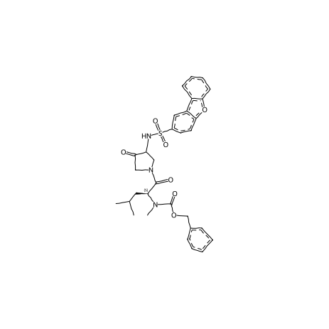 CC(C)C[C@@H](C(=O)N1CC(=O)C(NS(=O)(=O)c2ccc3oc4ccccc4c3c2)C1)N(C)C(=O)OCc1ccccc1